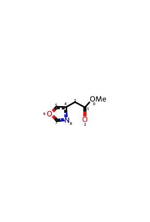 [CH2]OC(=O)Cc1cocn1